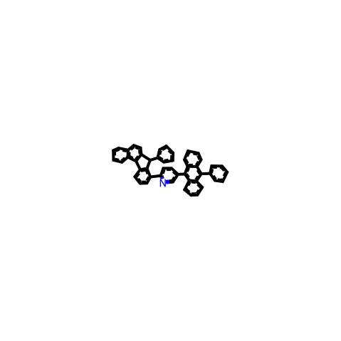 c1ccc(-c2c3ccccc3c(-c3ccc(-c4cccc5c4C(c4ccccc4)c4ccc6ccccc6c4-5)nc3)c3ccccc23)cc1